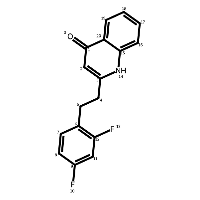 O=c1cc(CCc2ccc(F)cc2F)[nH]c2ccccc12